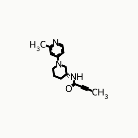 CC#CC(=O)N[C@@H]1CCCN(c2ccnc(C)c2)C1